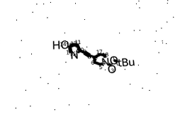 CC(C)(C)OC(=O)N1CCC(C#Cc2ccc(O)cn2)CC1